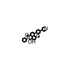 COc1ccc2c3c(ccc(-c4ccc(-c5ccncc5)cc4)c13)C(=O)N(c1ccccc1)C2O